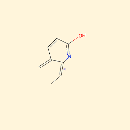 C=c1ccc(O)n/c1=C/C